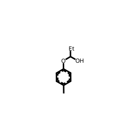 CCC(O)Oc1ccc(C)cc1